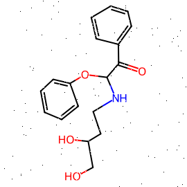 O=C(c1ccccc1)C(NCCC(O)CO)Oc1ccccc1